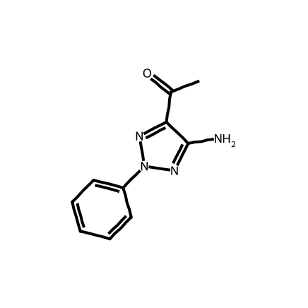 CC(=O)c1nn(-c2ccccc2)nc1N